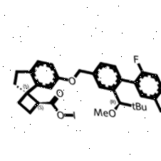 CO[C@@H](c1cc(COc2ccc3c(c2)[C@]2(CC3)CC[C@@H]2C(=O)OI)ccc1-c1cc(C)ccc1F)C(C)(C)C